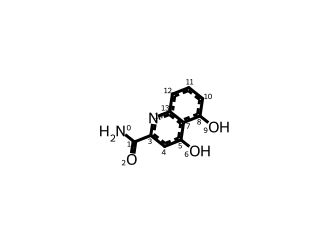 NC(=O)c1cc(O)c2c(O)cccc2n1